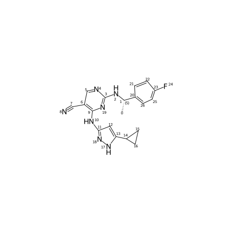 C[C@H](Nc1ncc(C#N)c(Nc2cc(C3CC3)[nH]n2)n1)c1ccc(F)cc1